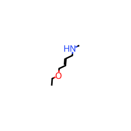 CCOCC=CCNC